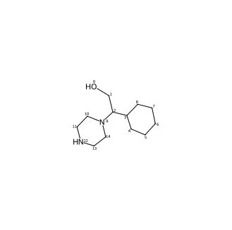 OCC(C1CCCCC1)N1CCNCC1